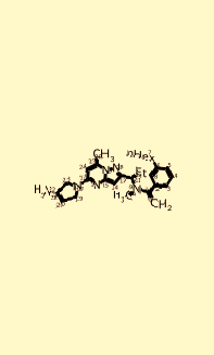 C=C(c1cccc(CCCCCC)c1)N(C)C(CC)c1cc2nc(N3CC[C@H](N)C3)cc(C)n2n1